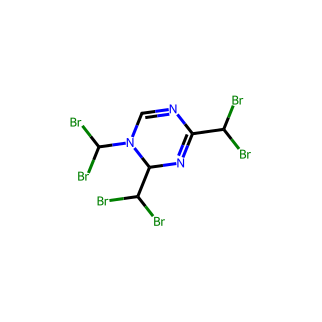 BrC(Br)C1=NC(C(Br)Br)N(C(Br)Br)C=N1